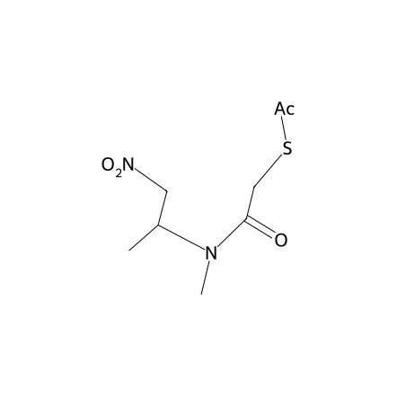 CC(=O)SCC(=O)N(C)C(C)C[N+](=O)[O-]